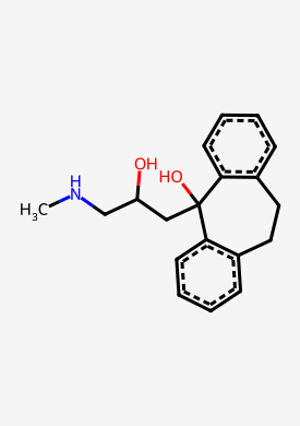 CNCC(O)CC1(O)c2ccccc2CCc2ccccc21